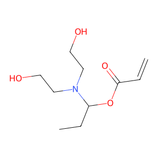 C=CC(=O)OC(CC)N(CCO)CCO